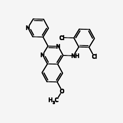 COc1ccc2nc(-c3cccnc3)nc(Nc3c(Cl)cccc3Cl)c2c1